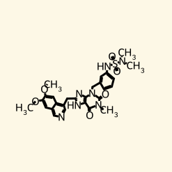 COc1cc2cncc(Cc3nc4c([nH]3)c(=O)n(C)c(=O)n4Cc3cccc(NS(=O)(=O)N(C)C)c3)c2cc1OC